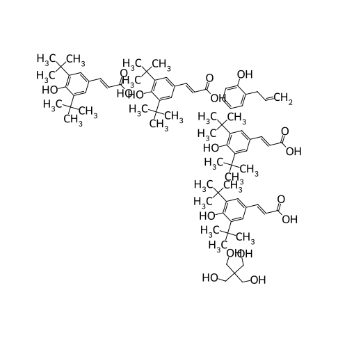 C=CCc1ccccc1O.CC(C)(C)c1cc(C=CC(=O)O)cc(C(C)(C)C)c1O.CC(C)(C)c1cc(C=CC(=O)O)cc(C(C)(C)C)c1O.CC(C)(C)c1cc(C=CC(=O)O)cc(C(C)(C)C)c1O.CC(C)(C)c1cc(C=CC(=O)O)cc(C(C)(C)C)c1O.OCC(CO)(CO)CO